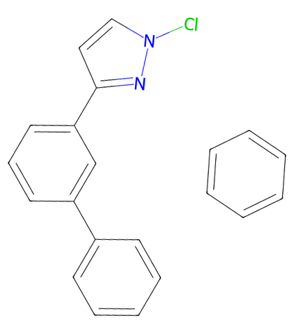 Cln1ccc(-c2cccc(-c3ccccc3)c2)n1.c1ccccc1